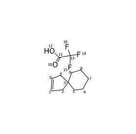 C1=CCC2(C1)CCCCC2.O=C(O)C(F)(F)F